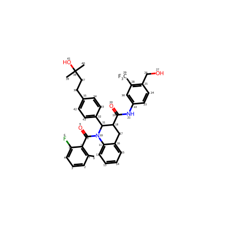 Cc1cccc(F)c1C(=O)N1c2ccccc2CC(C(=O)Nc2ccc(CO)c(C(F)(F)F)c2)C1c1ccc(CCC(C)(C)O)cc1